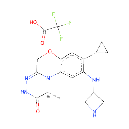 C[C@@H]1C(=O)NN=C2COc3cc(C4CC4)c(NC4CNC4)cc3N21.O=C(O)C(F)(F)F